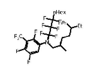 CCCCCCC(F)(F)C(F)(F)C(F)(F)N(CC(C)CCC(CC)CCC)c1cc(F)c(F)c(C(F)(F)F)c1F